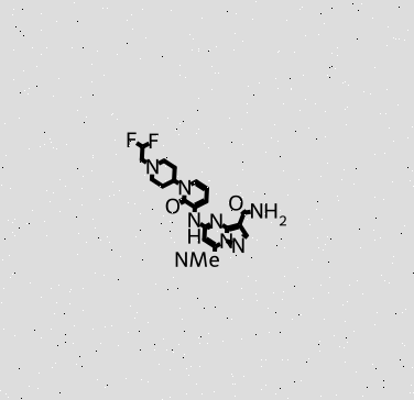 CNc1cc(Nc2cccn(C3CCN(CC(F)F)CC3)c2=O)nc2c(C(N)=O)cnn12